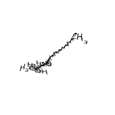 CCCCCCCCCCCCCCCCCC(=O)NCCCNC(C)O